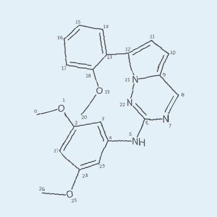 COc1cc(Nc2ncc3ccc(-c4ccccc4OC)n3n2)cc(OC)c1